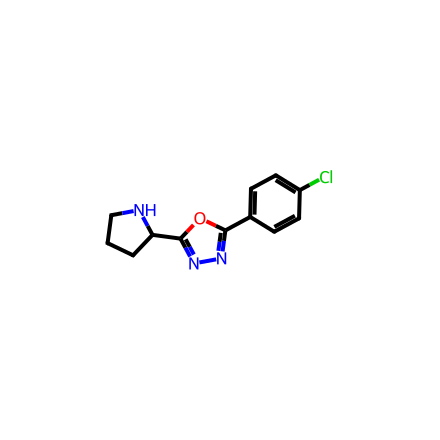 Clc1ccc(-c2nnc(C3CCCN3)o2)cc1